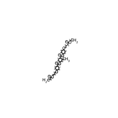 C=COC(=O)CCCOC1CCC(OC(=O)C2CCC(OC(=O)C3CCC(OCCCOC(=O)C=C)CC3)CC2C)CC1